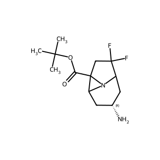 CC(C)(C)OC(=O)C12CC(F)(F)C3C[C@H](N)CC1N32